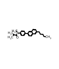 C=C(C)C(=O)N(C)c1ccc(-c2ccc3cc(CCCCC)ccc3c2)cc1